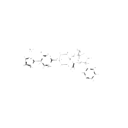 COc1nc(N2CCC3(CC2)O[C@@H]2CC[C@@H](c4ccccc4)N2C3=O)ncc1-c1ncco1